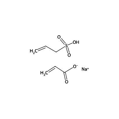 C=CC(=O)[O-].C=CCS(=O)(=O)O.[Na+]